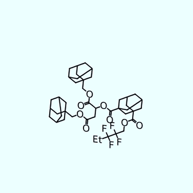 CCC(F)(F)C(F)(F)COC(=O)C12CC3CC(C1)CC(C(=O)OC(CC(=O)OCC14CC5CC(CC(C5)C1)C4)C(=O)OCC14CC5CC(CC(C5)C1)C4)(C3)C2